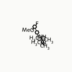 COc1ccc(F)cc1-c1ccc([C@@H](C)NS(=O)(=O)c2c(C)nn(C)c2C)cc1